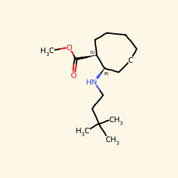 COC(=O)[C@H]1CCCCCC[C@H]1NCCC(C)(C)C